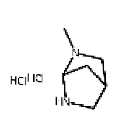 CN1CC2CNC1C2.Cl.Cl